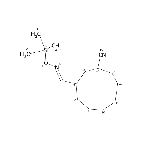 C[Si](C)(C)ON=CC1CCCCCCC(C#N)C1